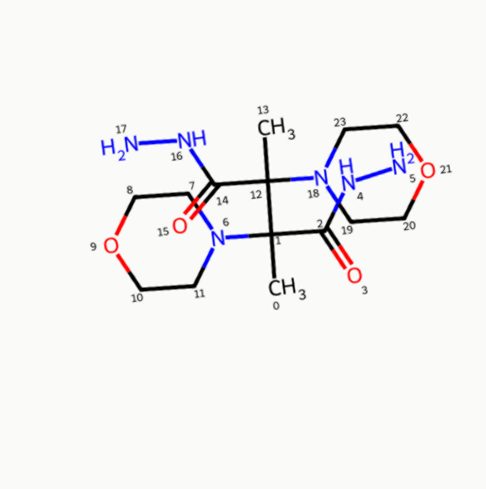 CC(C(=O)NN)(N1CCOCC1)C(C)(C(=O)NN)N1CCOCC1